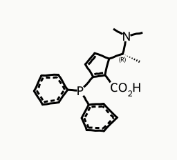 C[C@H](C1C=CC(P(c2ccccc2)c2ccccc2)=C1C(=O)O)N(C)C